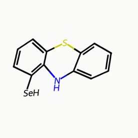 [SeH]c1cccc2c1Nc1ccccc1S2